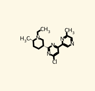 CCN1C[C@H](c2nc(Cl)cc(-c3cncc(C)n3)n2)CC[C@@H]1C